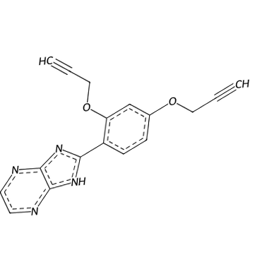 C#CCOc1ccc(-c2nc3nccnc3[nH]2)c(OCC#C)c1